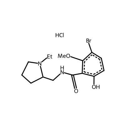 CCN1CCCC1CNC(=O)c1c(O)ccc(Br)c1OC.Cl